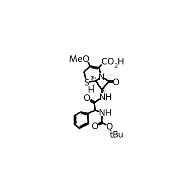 COC1=C(C(=O)O)N2C(=O)[C@@H](NC(=O)C(NC(=O)OC(C)(C)C)c3ccccc3)[C@H]2SC1